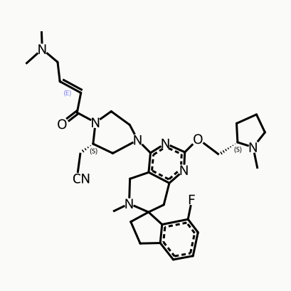 CN(C)C/C=C/C(=O)N1CCN(c2nc(OC[C@@H]3CCCN3C)nc3c2CN(C)C2(CCc4cccc(F)c42)C3)C[C@@H]1CC#N